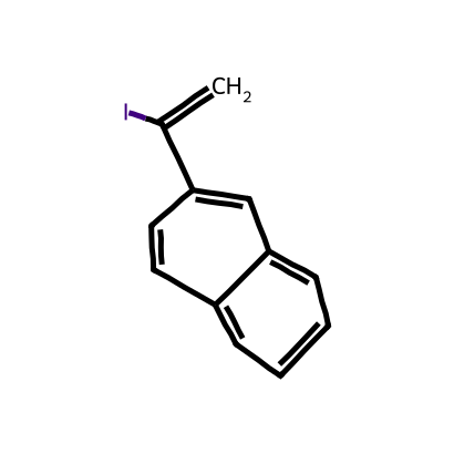 C=C(I)c1ccc2ccccc2c1